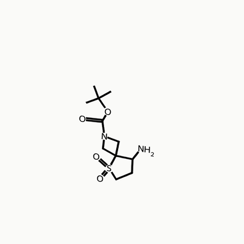 CC(C)(C)OC(=O)N1CC2(C1)C(N)CCS2(=O)=O